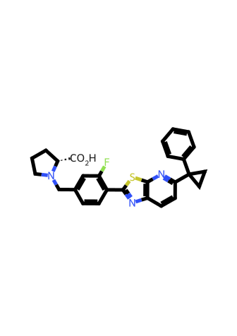 O=C(O)[C@H]1CCCN1Cc1ccc(-c2nc3ccc(C4(c5ccccc5)CC4)nc3s2)c(F)c1